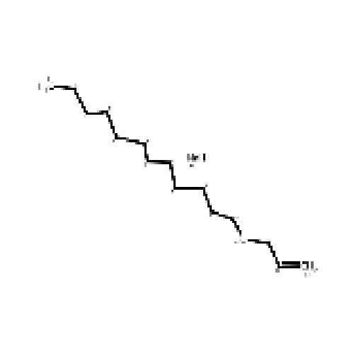 [CH2]CCCCCCCCCCCOCC=C.[NaH]